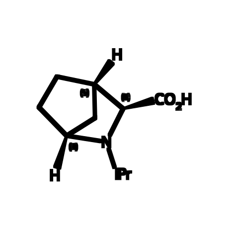 CC(C)N1[C@@H]2CC[C@@H](C2)[C@H]1C(=O)O